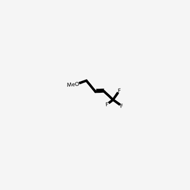 [CH2]OCC=CC(F)(F)F